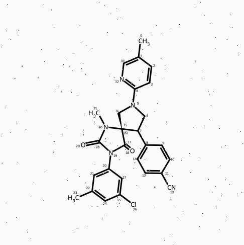 Cc1ccc(N2CC(c3ccc(C#N)cc3)[C@]3(C2)C(=O)N(c2cc(C)cc(Cl)c2)C(=O)N3C)nc1